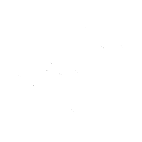 Cc1cc(N)nc(-c2c(Cl)c3c4c(nc(OCC5COCCN5C)nc4c2F)N([C@H](C)c2cccnc2N)CCO3)c1C(F)(F)F